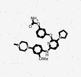 COc1cc(N2CCN(C)CC2)ccc1Nc1ccc(N2CCCC2)c(Oc2cccc(OC(N)=O)c2)n1